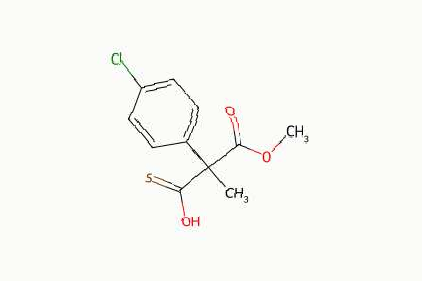 COC(=O)C(C)(C(O)=S)c1ccc(Cl)cc1